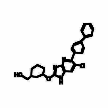 OC[C@H]1CCC[C@@H](Oc2nc3nc(-c4ccc(-c5ccccc5)cc4)c(Cl)cc3[nH]2)C1